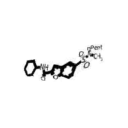 CCCCCN(C)S(=O)(=O)c1ccc2oc(C(=O)NC3CCCCC3)cc2c1